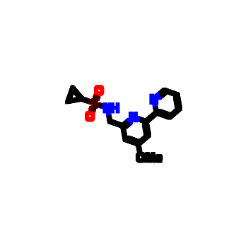 COc1cc(CNS(=O)(=O)C2CC2)nc(-c2ccccn2)c1